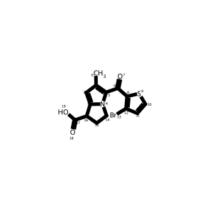 Cc1cc2n(c1C(=O)c1sccc1Br)CCC2C(=O)O